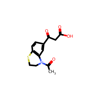 CC(=O)N1CCSc2ccc(C(=O)CC(=O)O)cc21